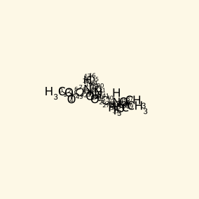 CCOC(=O)c1ccc(NC(=O)[C@@H]2[C@H](C3CCCCC3)CCN2C(=O)C2CCC([C@@H](CF)NC(=O)OC(C)(C)C)CC2)cc1